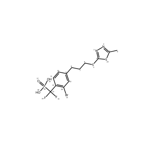 Cc1nnc(SCCCc2ccc(C(F)(F)P(=O)(O)O)c(Br)c2)s1